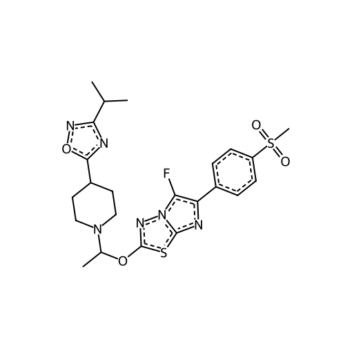 CC(C)c1noc(C2CCN(C(C)Oc3nn4c(F)c(-c5ccc(S(C)(=O)=O)cc5)nc4s3)CC2)n1